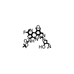 CN(C)CC1CN(c2ncc3c4c(c(-c5ncc(F)c6sc(NC(=O)OC(C)(C)C)c(C#N)c56)c(F)c3n2)COC4)CC1O